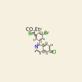 CCOC(=O)c1c(Br)cc(-c2nccc3cc(Cl)ccc23)cc1Br